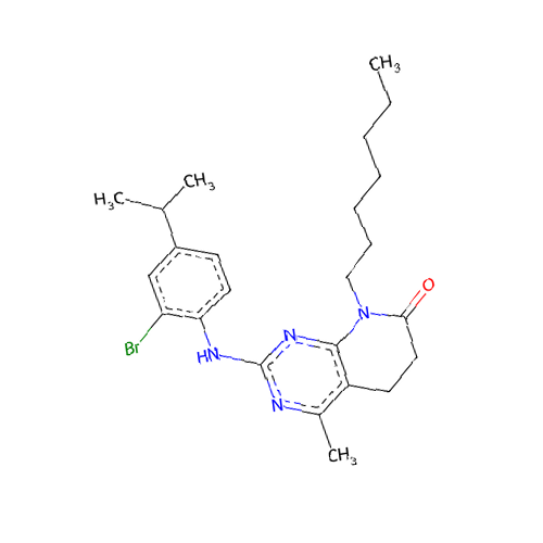 CCCCCCCN1C(=O)CCc2c(C)nc(Nc3ccc(C(C)C)cc3Br)nc21